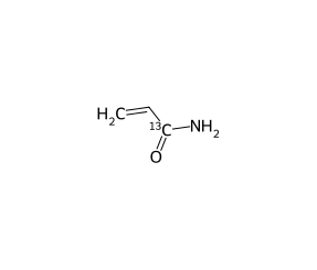 C=C[13C](N)=O